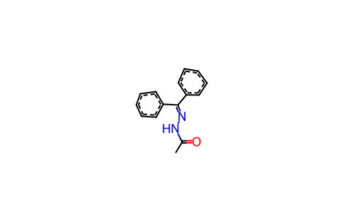 CC(=O)NN=C(c1ccccc1)c1ccccc1